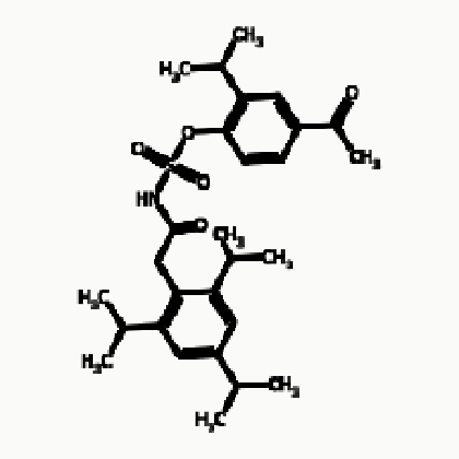 CC(=O)c1ccc(OS(=O)(=O)NC(=O)Cc2c(C(C)C)cc(C(C)C)cc2C(C)C)c(C(C)C)c1